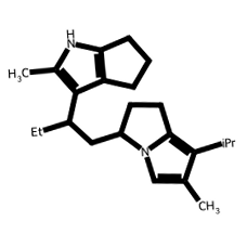 CCC(CC1CCc2c(C(C)C)c(C)cn21)c1c(C)[nH]c2c1CCC2